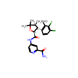 COc1c([C@@H]2[C@@H](C(=O)Nc3ccnc(C(N)=O)c3)OC(C)(C)[C@H]2C)ccc(F)c1F